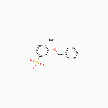 O=S(=O)([O-])c1cccc(OCc2ccccc2)c1.[Na+]